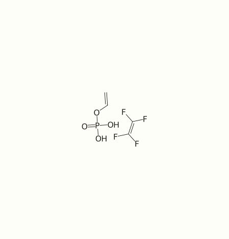 C=COP(=O)(O)O.FC(F)=C(F)F